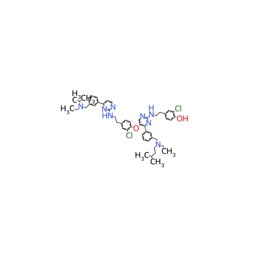 CCN(CCC(C)C)Cc1cccc(-c2nc(NCCc3ccc(O)c(Cl)c3)ncc2Oc2ccc(CCNc3nccc(-c4cccc(CN(CC)C(C)C)c4)n3)cc2Cl)c1